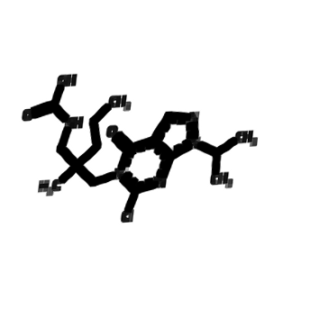 CCCC(C)(CNC(=O)O)Cn1c(Cl)nc2c(cnn2C(C)C)c1=O